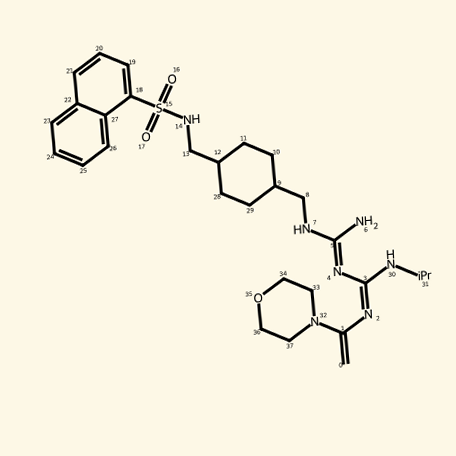 C=C(/N=C(\N=C(/N)NCC1CCC(CNS(=O)(=O)c2cccc3ccccc23)CC1)NC(C)C)N1CCOCC1